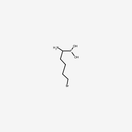 NC(CCCCBr)P(O)O